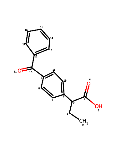 CCC(C(=O)O)c1ccc(C(=O)c2ccccc2)cc1